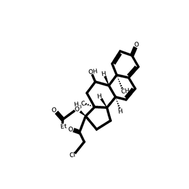 CCC(=O)O[C@]1(C(=O)CCl)CC[C@H]2[C@@H]3C=CC4=CC(=O)C=C[C@]4(C)[C@H]3C(O)C[C@@]21C